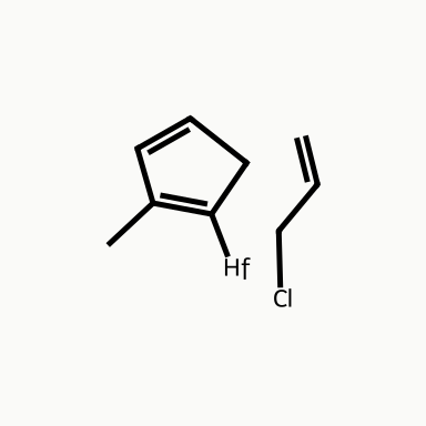 C=CCCl.CC1=[C]([Hf])CC=C1